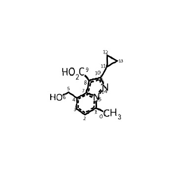 Cc1ccc(CO)c2c(C(=O)O)c(C3CC3)nn12